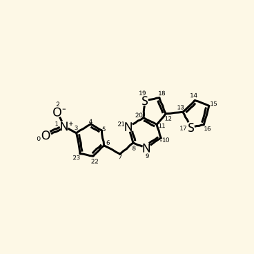 O=[N+]([O-])c1ccc(Cc2n[c]c3c(-c4cccs4)csc3n2)cc1